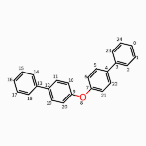 c1ccc(-c2ccc(Oc3ccc(-c4ccccc4)cc3)cc2)cc1